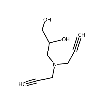 C#CCN(CC#C)CC(O)CO